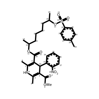 COC(=O)C1=C(C)NC(C)=C(C(=O)OC(C)CCCCC(C)OS(=O)(=O)c2ccc(C)cc2)C1c1ccccc1[N+](=O)[O-]